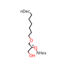 CCCCCCCCCCCCCCCCOC[C@H](CO)OCCCCCC